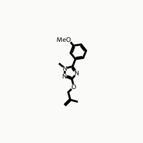 C=C(C)COc1nc(-c2cccc(OC)c2)n(C)n1